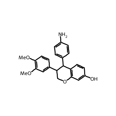 COc1ccc(C2COc3cc(O)ccc3C2c2ccc(N)cc2)cc1OC